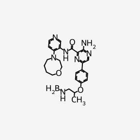 BNCC(C)Oc1ccc(-c2cnc(N)c(C(=O)Nc3cnccc3N3CCCCOCC3)n2)cc1